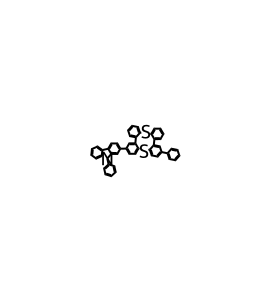 c1ccc(-c2ccc3c(c2)-c2ccccc2Sc2ccccc2-c2cc(-c4ccc5c6ccccc6n(-c6ccccc6)c5c4)ccc2S3)cc1